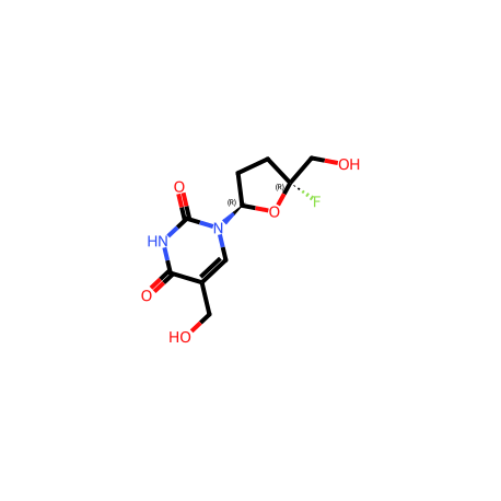 O=c1[nH]c(=O)n([C@H]2CC[C@@](F)(CO)O2)cc1CO